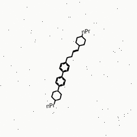 CCCC1CCC(C=CCCc2ccc(-c3ccc(C4CCC(CCC)CC4)cc3)cc2)CC1